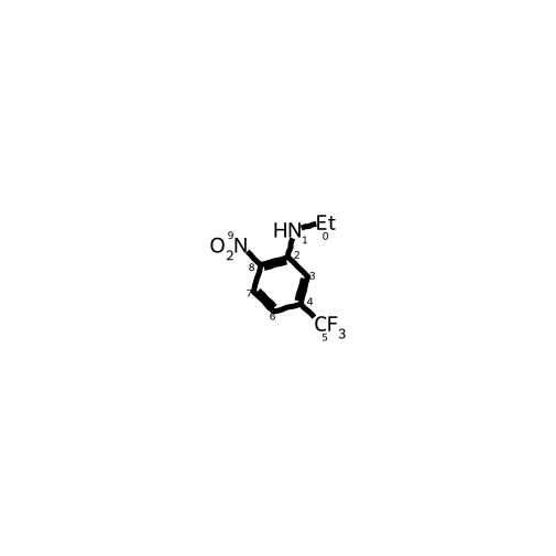 CCNc1cc(C(F)(F)F)ccc1[N+](=O)[O-]